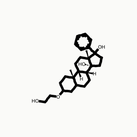 C[C@]12CCC(OCCO)CC1CC[C@@H]1[C@H]2CC[C@]2(C)C(O)(c3ccccc3)CC[C@@]12O